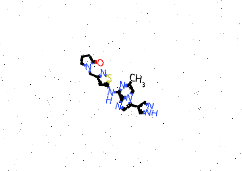 Cc1cn2c(-c3cn[nH]c3)cnc2c(Nc2cc(CN3CCCC3=O)ns2)n1